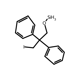 [SiH3]OCC(CI)(c1ccccc1)c1ccccc1